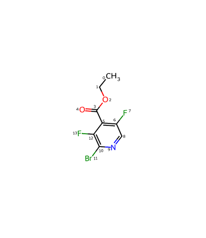 CCOC(=O)c1c(F)cnc(Br)c1F